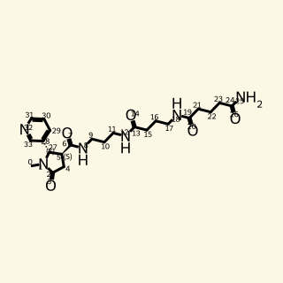 CN1C(=O)C[C@H](C(=O)NCCCNC(=O)CCCNC(=O)CCCC(N)=O)[C@H]1c1cccnc1